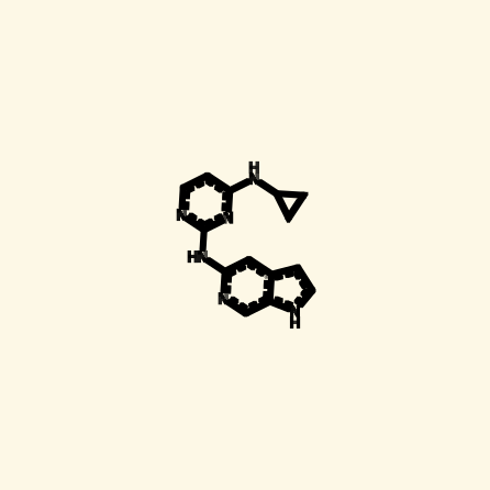 c1cc(NC2CC2)nc(Nc2cc3cc[nH]c3cn2)n1